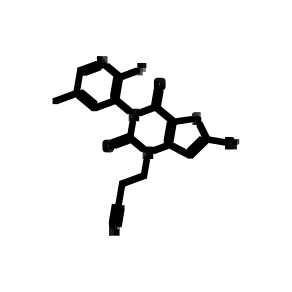 Cc1cnc(F)c(-n2c(=O)c3sc(Br)cc3n(CCC#N)c2=O)c1